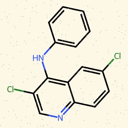 Clc1ccc2ncc(Cl)c(Nc3ccccc3)c2c1